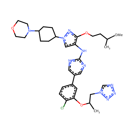 COC(C)CCOc1nn(C2CCC(N3CCOCC3)CC2)cc1Nc1ncc(-c2ccc(Cl)c(OC(C)Cn3cnnn3)c2)cn1